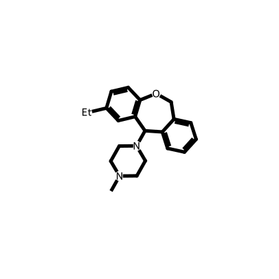 CCc1ccc2c(c1)C(N1CCN(C)CC1)c1ccccc1CO2